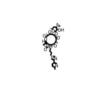 CO[C@@]1(C)C[C@@H](C)C(=O)[C@H](C)[C@H]2N(CCCCn3cnc(-c4ccc(C)nc4)c3)C(=O)O[C@@]23C(C)[C@H]3OC(=O)[C@H](C)C(=O)[C@H](C)[C@H]1O[C@@H]1O[C@H](C)C[C@H](N(C)C)[C@H]1O